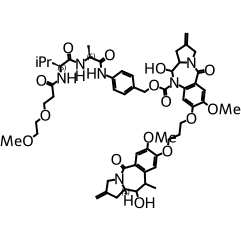 C=C1CC2C(O)N(C(=O)OCc3ccc(NC(=O)[C@H](C)NC(=O)[C@@H](NC(=O)CCOCCOC)C(C)C)cc3)c3cc(OCCCOc4cc5c(cc4OC)C(=O)N4CC(=C)C[C@H]4C(O)C5C)c(OC)cc3C(=O)N2C1